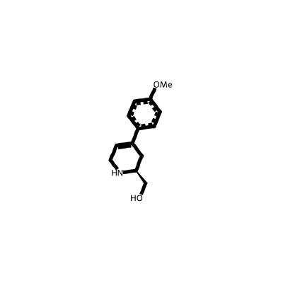 COc1ccc(C2=CCN[C@H](CO)C2)cc1